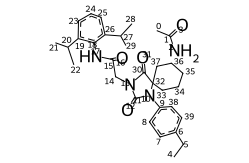 CC(N)=O.CCc1ccc(N2C(=O)N(CC(=O)Nc3c(C(C)C)cccc3C(C)C)C(=O)C23CCCCC3)cc1